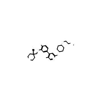 COC[C@@H](C)N[C@H]1CC[C@H](Nc2cc(-c3ccc(F)c(NCC4(C#N)CCOCC4)c3)c(F)cn2)CC1